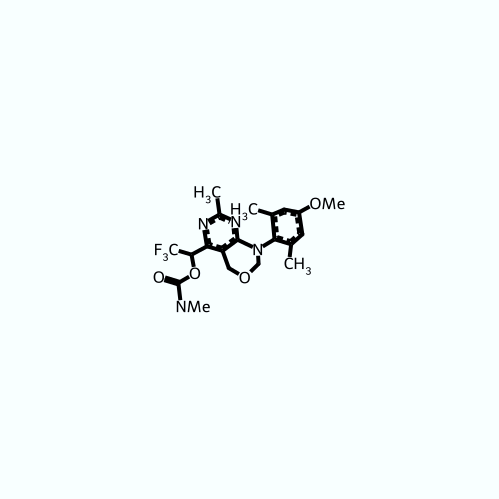 CNC(=O)OC(c1nc(C)nc2c1COCN2c1c(C)cc(OC)cc1C)C(F)(F)F